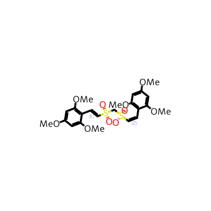 COc1cc(OC)c(/C=C\S(=O)(=O)CS(=O)(=O)/C=C/c2c(OC)cc(OC)cc2OC)c(OC)c1